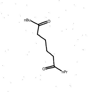 CCCCC(=O)CCCCC(=O)CCC